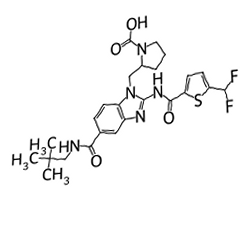 CC(C)(C)CNC(=O)c1ccc2c(c1)nc(NC(=O)c1ccc(C(F)F)s1)n2CC1CCCN1C(=O)O